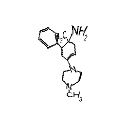 CN1CCN(C2=CCC(C)(N)C(c3ccccc3)=C2)CC1